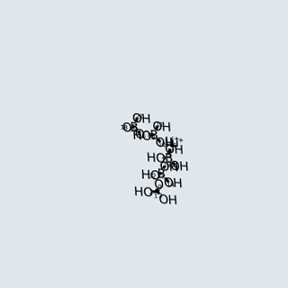 O=C(O)O.OB(O)O.OB(O)O.OB(O)O.[Li+].[Li+].[O-]B([O-])O